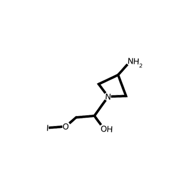 NC1CN(C(O)COI)C1